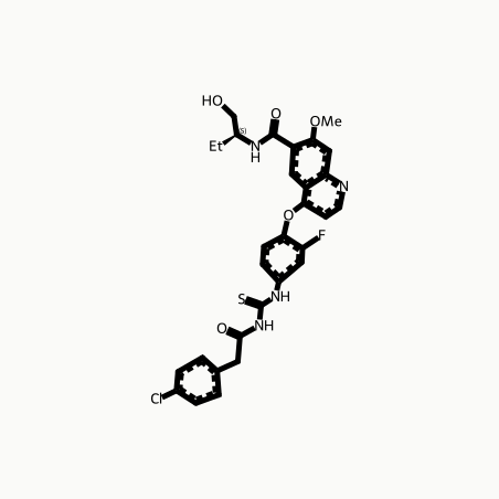 CC[C@@H](CO)NC(=O)c1cc2c(Oc3ccc(NC(=S)NC(=O)Cc4ccc(Cl)cc4)cc3F)ccnc2cc1OC